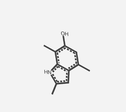 Cc1cc2c(C)cc(O)c(C)c2[nH]1